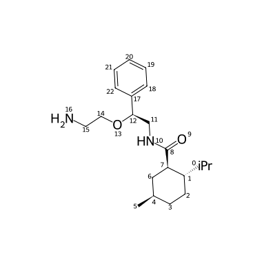 CC(C)[C@@H]1CC[C@@H](C)C[C@H]1C(=O)NC[C@@H](OCCN)c1ccccc1